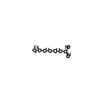 CCc1cc(-c2ccc(-c3ccc(-c4ccc(-c5ccc(-c6cc(-c7ccccn7)cc(-c7ccccn7)c6)cc5C)c(C)c4)cc3C)c(C)c2)ccc1-c1ccccc1C